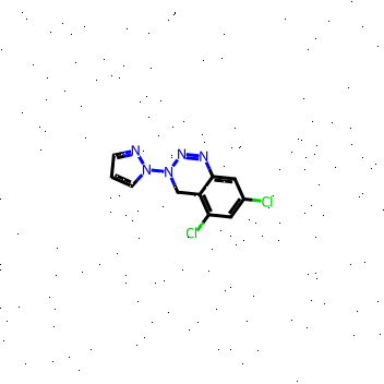 Clc1cc(Cl)c2c(c1)N=NN(n1cccn1)C2